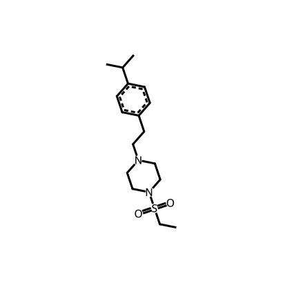 CCS(=O)(=O)N1CCN(CCc2ccc(C(C)C)cc2)CC1